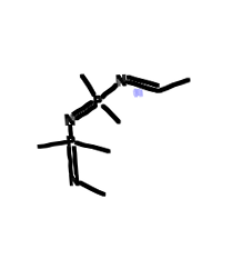 C/C=N/P(C)(C)=NP(C)(C)=NC